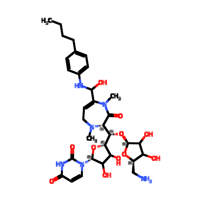 CCCCc1ccc(NC(O)C2=CCN(C)[C@@H]([C@H](O[C@@H]3O[C@H](CN)C(O)C3O)[C@H]3O[C@@H](n4ccc(=O)[nH]c4=O)C(O)C3O)C(=O)N2C)cc1